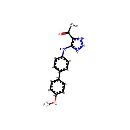 COC(=O)c1[nH]nnc1Nc1ccc(-c2ccc(OC(F)(F)F)cc2)cc1